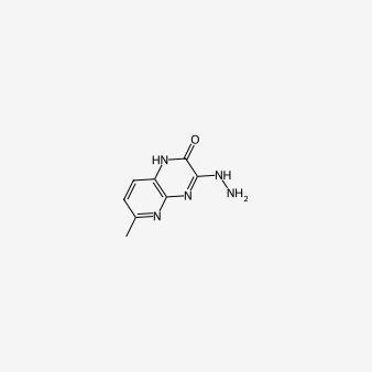 Cc1ccc2[nH]c(=O)c(NN)nc2n1